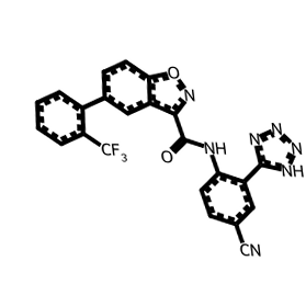 N#Cc1ccc(NC(=O)c2noc3ccc(-c4ccccc4C(F)(F)F)cc23)c(-c2nnn[nH]2)c1